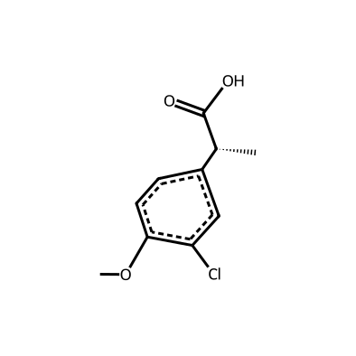 COc1ccc([C@@H](C)C(=O)O)cc1Cl